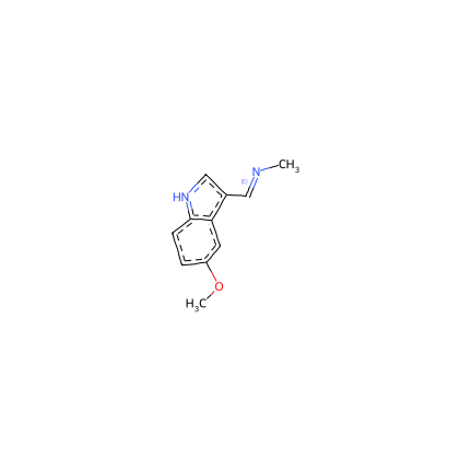 C/N=C/c1c[nH]c2ccc(OC)cc12